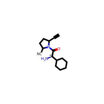 C#CC1CCC(C#N)N1C(=O)[C@H](N)C1CCCCC1